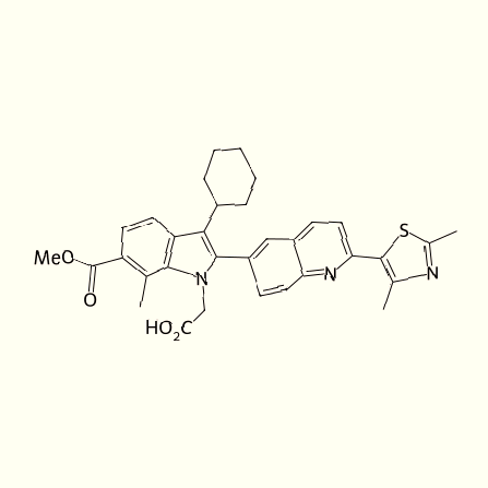 COC(=O)c1ccc2c(C3CCCCC3)c(-c3ccc4nc(-c5sc(C)nc5C)ccc4c3)n(CC(=O)O)c2c1C